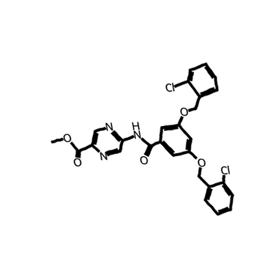 COC(=O)c1cnc(NC(=O)c2cc(OCc3ccccc3Cl)cc(OCc3ccccc3Cl)c2)cn1